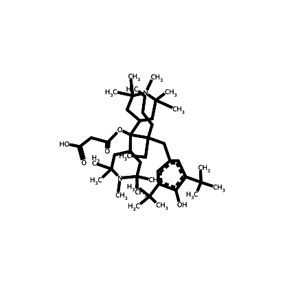 CCCCC(CC)(Cc1cc(C(C)(C)C)c(O)c(C(C)(C)C)c1)C(OC(=O)CC(=O)O)(C1CC(C)(C)N(C)C(C)(C)C1)C1CC(C)(C)N(C)C(C)(C)C1